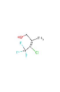 CC(CO)=C(Cl)C(F)(F)F